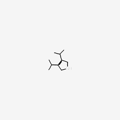 CC(C)C1=C(C(C)C)CNC1